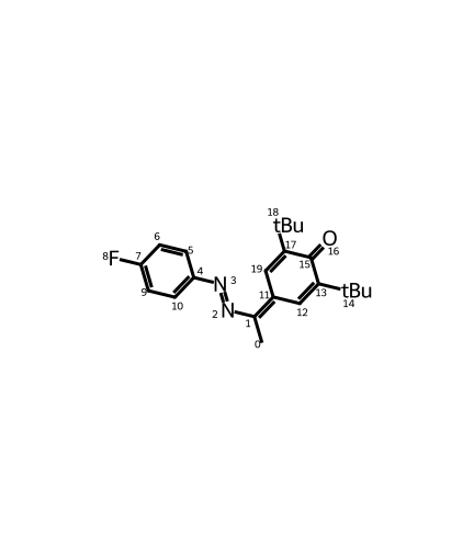 CC(N=Nc1ccc(F)cc1)=C1C=C(C(C)(C)C)C(=O)C(C(C)(C)C)=C1